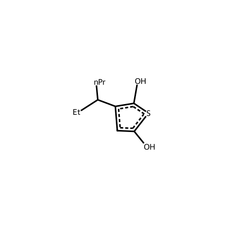 CCCC(CC)c1cc(O)sc1O